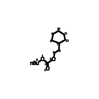 CCCCOC(=O)OCCC1CCCCC1